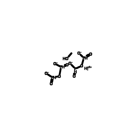 CO.O=[PH]([O-])O[PH](=O)[O-].O=[PH]([O-])O[PH](=O)[O-].[Hf+4]